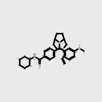 C=CCN1CCC2CCC(C1)N2C(c1ccc(C(=O)NC2CCCCC2)cc1)c1cccc(OC)c1